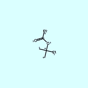 C[CH]C(=O)OC(C)(C)CC